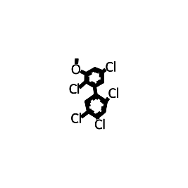 COc1cc(Cl)cc(-c2cc(Cl)c(Cl)cc2Cl)c1Cl